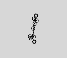 O=C(COCCOCCCCCC(OO)c1ccccc1)Oc1ccccc1